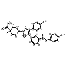 CNC(=O)C1(C)COC(c2nc(-c3ccc(F)cc3)c(-c3ccnc(NCc4ccc(F)cc4)n3)[nH]2)OC1